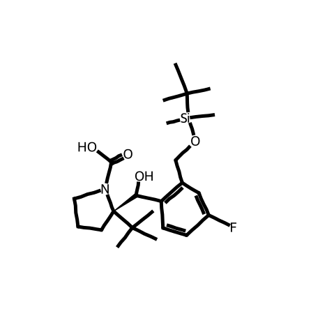 CC(C)(C)[C@]1(C(O)c2ccc(F)cc2CO[Si](C)(C)C(C)(C)C)CCCN1C(=O)O